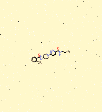 CC(C)CCNC(=O)c1ccc(N2CCC(NC(=O)c3ccccc3C(F)(F)F)CC2)nn1